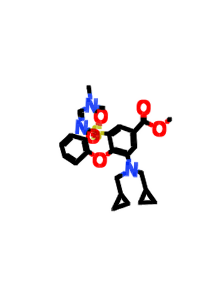 COC(=O)c1cc(N(CC2CC2)CC2CC2)c(Oc2ccccc2)c(S(=O)(=O)/N=C\N(C)C)c1